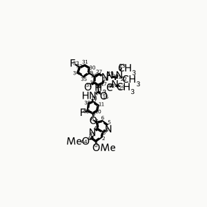 COc1cc2nccc(Oc3ccc(NC(=O)c4cn(N=C(N(C)C)N(C)C)cc(-c5ccc(F)cc5)c4=O)cc3F)c2nc1OC